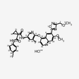 COCc1noc(-c2cc3c(Oc4ncc(NC(=O)C5(C(=O)Nc6ccc(F)cc6)CC5)cc4F)ccnc3cc2OC)n1.Cl